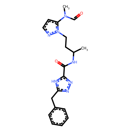 CC(CCn1nccc1N(C)C=O)NC(=O)c1nnc(Cc2ccccc2)[nH]1